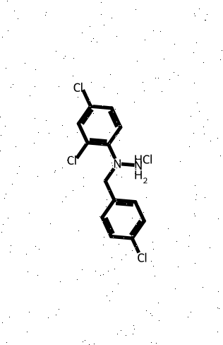 Cl.NN(Cc1ccc(Cl)cc1)c1ccc(Cl)cc1Cl